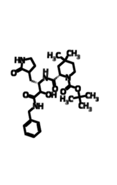 CC1(C)CCN(C(=O)OC(C)(C)C)[C@H](C(=O)N[C@@H](CC2CCNC2=O)C(O)C(=O)NCc2ccccc2)C1